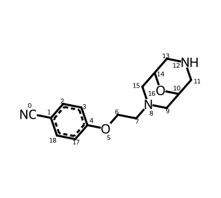 N#Cc1ccc(OCCN2CC3CNCC(C2)O3)cc1